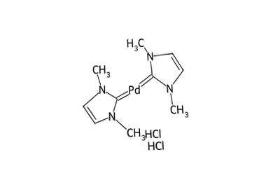 Cl.Cl.Cn1ccn(C)[c]1=[Pd]=[c]1n(C)ccn1C